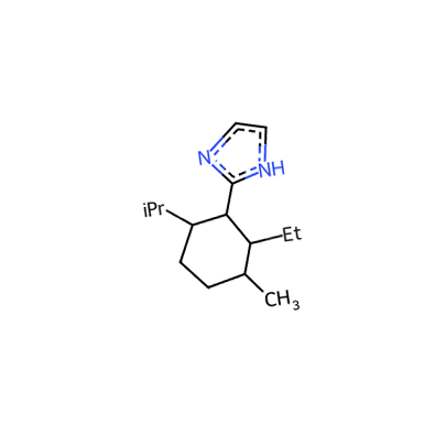 CCC1C(C)CCC(C(C)C)C1c1ncc[nH]1